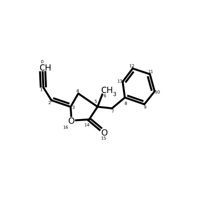 C#CC=C1CC(C)(Cc2ccccc2)C(=O)O1